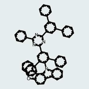 c1ccc(-c2cc(-c3ccccc3)cc(-c3nc(-c4ccccc4)nc(-c4cc(-c5ccccc5)c(-n5c6ccccc6c6ccc7oc8ccccc8c7c65)c(-c5ccccc5)c4)n3)c2)cc1